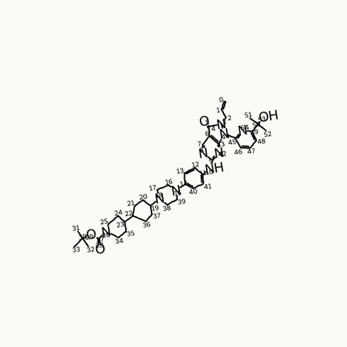 C=CCn1c(=O)c2cnc(Nc3ccc(N4CCN(C5CCC(C6CCN(C(=O)OC(C)(C)C)CC6)CC5)CC4)cc3)nc2n1-c1cccc(C(C)(C)O)n1